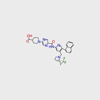 O=C(Nc1cc(CN2CCC[C@H]2C(F)(F)F)c(-c2cccc3ccccc23)cn1)c1cnc(N2CCC(C(=O)O)CC2)cn1